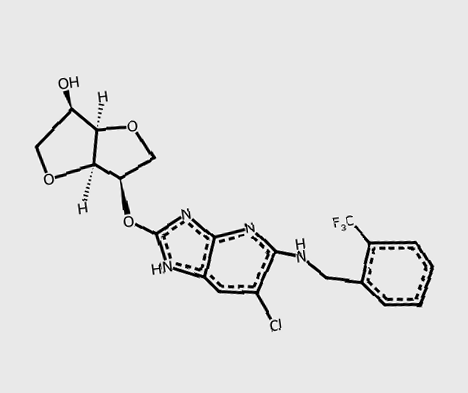 O[C@@H]1CO[C@H]2[C@@H]1OC[C@H]2Oc1nc2nc(NCc3ccccc3C(F)(F)F)c(Cl)cc2[nH]1